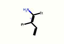 C=C/C(=C(/N)CC)C(C)C